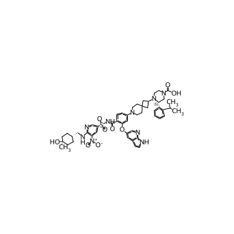 CC(C)c1ccccc1[C@H]1CN(C(=O)O)CCN1C1CC2(CCN(c3ccc(C(=O)NS(=O)(=O)c4cnc(NC[C@H]5CC[C@](C)(O)CC5)c([N+](=O)[O-])c4)c(Oc4cnc5[nH]ccc5c4)c3)CC2)C1